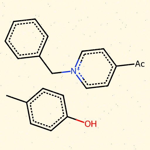 CC(=O)c1cc[n+](Cc2ccccc2)cc1.Cc1ccc(O)cc1